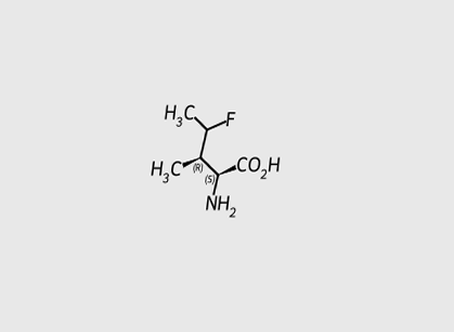 CC(F)[C@H](C)[C@H](N)C(=O)O